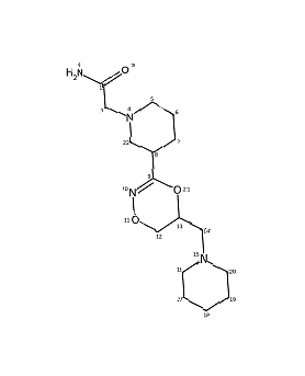 NC(=O)CN1CCCC(C2=NOCC(CN3CCCCC3)O2)C1